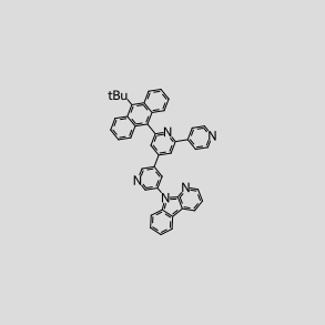 CC(C)(C)c1c2ccccc2c(-c2cc(-c3cncc(-n4c5ccccc5c5cccnc54)c3)cc(-c3ccncc3)n2)c2ccccc12